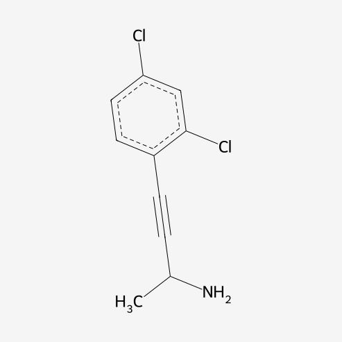 CC(N)C#Cc1ccc(Cl)cc1Cl